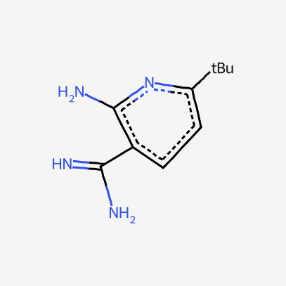 CC(C)(C)c1ccc(C(=N)N)c(N)n1